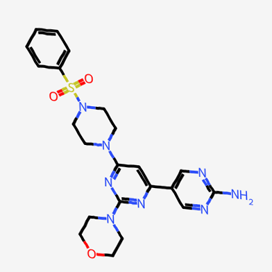 Nc1ncc(-c2cc(N3CCN(S(=O)(=O)c4ccccc4)CC3)nc(N3CCOCC3)n2)cn1